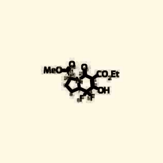 CCOC(=O)C1=C(O)C(F)(F)C2CC[C@H](C(=O)OC)N2C1=O